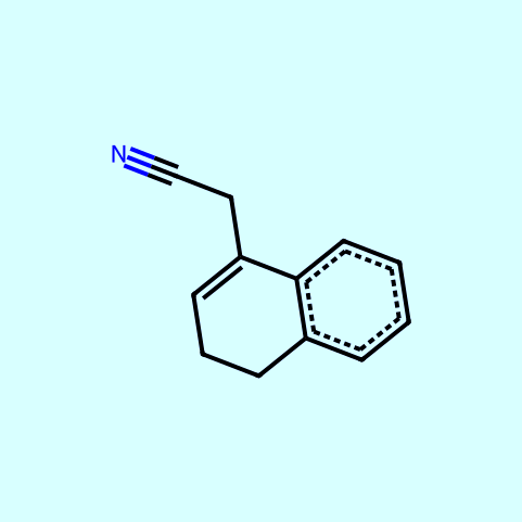 N#CCC1=CCCc2ccccc21